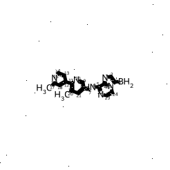 Bc1cnc2c(NCc3cnc(-c4ccnc(C)c4)c(C)c3)nccn12